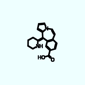 O=C(O)c1ccc2c(c1)/C(=C1/CCCCN1)c1cccn1C=C2